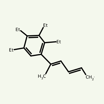 [CH2]C=CC=C(C)c1cc(CC)c(CC)c(CC)c1CC